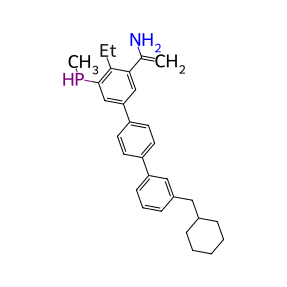 C=C(N)c1cc(-c2ccc(-c3cccc(CC4CCCCC4)c3)cc2)cc(PC)c1CC